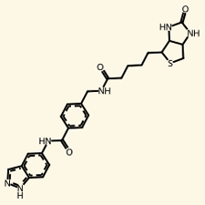 O=C(CCCCC1SCC2NC(=O)NC21)NCc1ccc(C(=O)Nc2ccc3[nH]ncc3c2)cc1